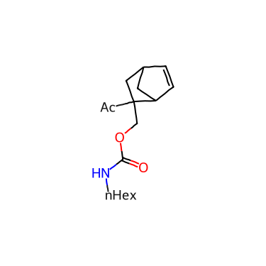 CCCCCCNC(=O)OCC1(C(C)=O)CC2C=CC1C2